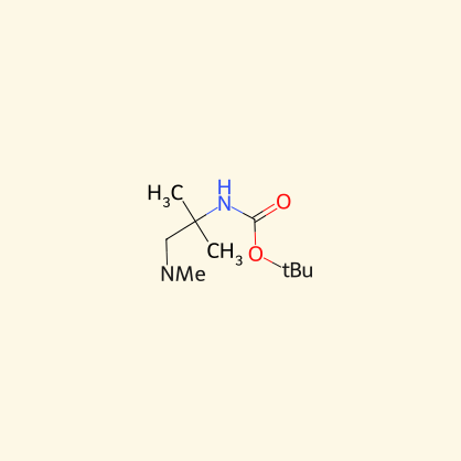 CNCC(C)(C)NC(=O)OC(C)(C)C